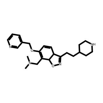 CN(C)CC1=C(OCc2cccnc2)C=CC2C(CCC3CCNCC3)=NOC12